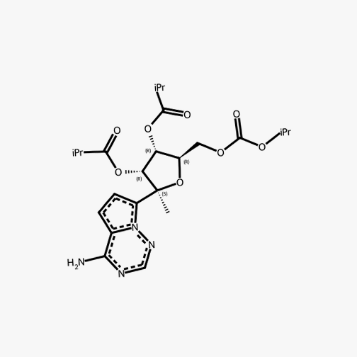 CC(C)OC(=O)OC[C@H]1O[C@@](C)(c2ccc3c(N)ncnn23)[C@H](OC(=O)C(C)C)[C@@H]1OC(=O)C(C)C